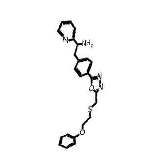 NC(Cc1ccc(-c2nnc(CSCCOc3ccccc3)o2)cc1)c1ccccn1